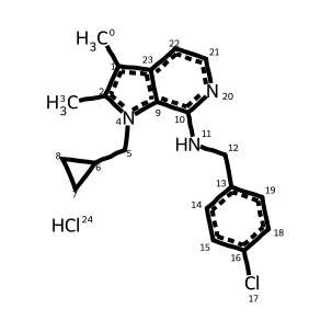 Cc1c(C)n(CC2CC2)c2c(NCc3ccc(Cl)cc3)nccc12.Cl